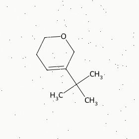 CC(C)(C)C1=CCCOC1